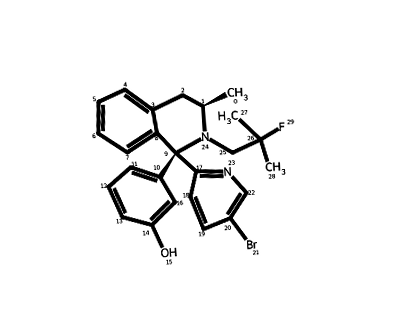 C[C@@H]1Cc2ccccc2[C@@](c2cccc(O)c2)(c2ccc(Br)cn2)N1CC(C)(C)F